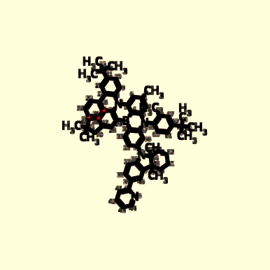 Cc1cc2c3c(c1)N(c1ccc(C(C)(C)C)cc1-c1ccccc1)c1cc4c(cc1B3c1ccc(N3c5ccc(-c6ccccn6)cc5C5(C)CCCCC35C)cc1N2c1ccc(C(C)(C)C)cc1C)CC(C)(C)C4